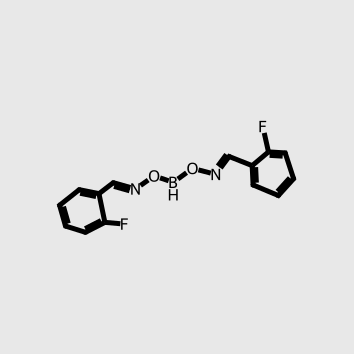 Fc1ccccc1C=NOBON=Cc1ccccc1F